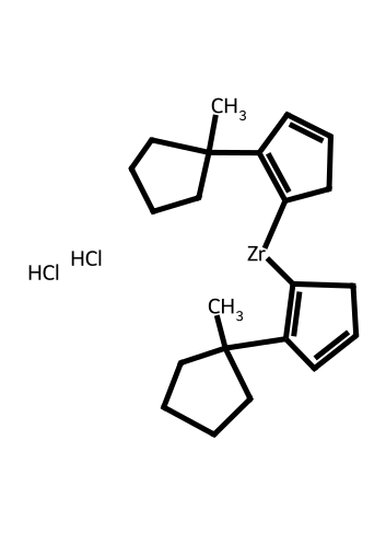 CC1(C2=[C]([Zr][C]3=C(C4(C)CCCC4)C=CC3)CC=C2)CCCC1.Cl.Cl